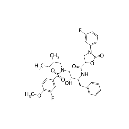 CC[C@H](C)CN(C[C@@H](O)[C@H](Cc1ccccc1)NC(=O)[C@@H]1CN(c2cccc(F)c2)C(=O)O1)S(=O)(=O)c1ccc(OC)c(F)c1